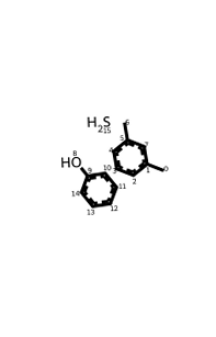 Cc1cccc(C)c1.Oc1ccccc1.S